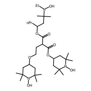 CCCC(CC(C)(C)N(O)CC)OC(=O)C(CCOC1CC(C)(C)N(O)C(C)(C)C1)C(=O)OC1CC(C)(C)N(O)C(C)(C)C1